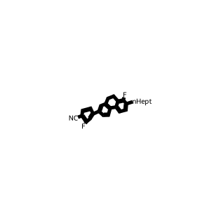 CCCCCCCc1ccc2c(c1F)CCc1cc(-c3ccc(C#N)c(F)c3)ccc1-2